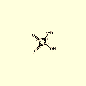 CC(C)(C)c1c(O)c(=O)c1=O